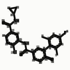 Cc1cc(F)cc(C)c1-n1cc(C(=O)Nc2cc(C(=O)NC3CC3)ccc2Cl)ccc1=O